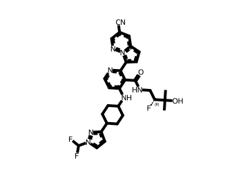 CC(C)(O)[C@H](F)CNC(=O)c1c(NC2CCC(c3ccn(C(F)F)n3)CC2)ccnc1-c1ccc2cc(C#N)cnn12